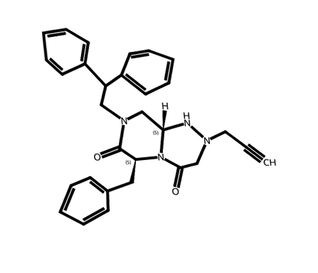 C#CCN1CC(=O)N2[C@H](CN(CC(c3ccccc3)c3ccccc3)C(=O)[C@@H]2Cc2ccccc2)N1